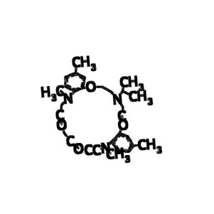 Cc1ccc2c(c1)OCCN(C(C)C)CCOc1cc(C)ccc1N(C)CCOCCOCCN2C